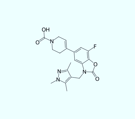 Cc1nn(C)c(C)c1Cn1c(=O)oc2c(F)cc(C3=CCN(C(=O)O)CC3)cc21